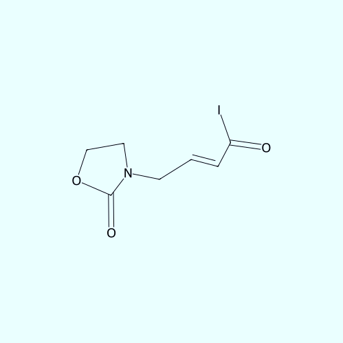 O=C(I)/C=C/CN1CCOC1=O